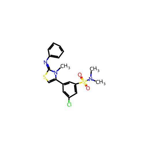 CN(C)S(=O)(=O)c1cc(Cl)cc(-c2csc(=Nc3ccccc3)n2C)c1